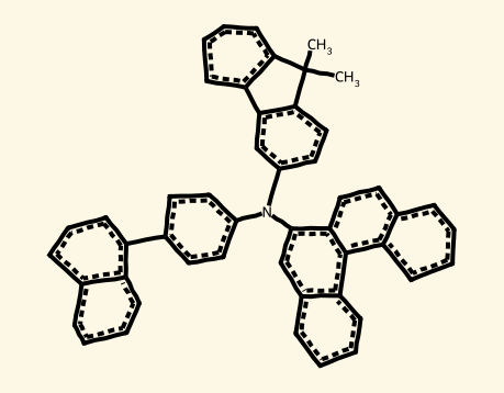 CC1(C)c2ccccc2-c2cc(N(c3ccc(-c4cccc5ccccc45)cc3)c3cc4ccccc4c4c3ccc3ccccc34)ccc21